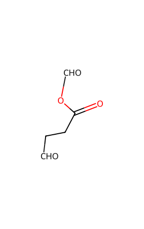 O=CCCC(=O)OC=O